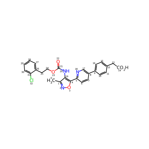 Cc1noc(-c2ccc(-c3ccc(CC(=O)O)cc3)cn2)c1NC(=O)OCCc1ccccc1Cl